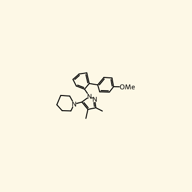 COc1ccc(-c2ccccc2-n2nc(C)c(C)c2N2CCCCC2)cc1